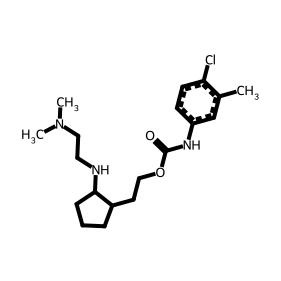 Cc1cc(NC(=O)OCCC2CCCC2NCCN(C)C)ccc1Cl